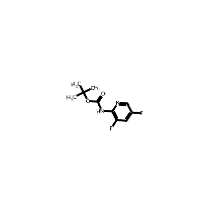 CC(C)(C)OC(=O)Nc1ncc(F)cc1F